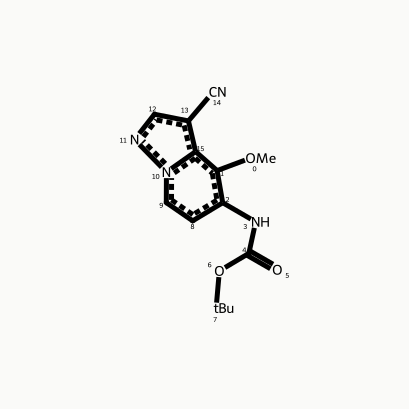 COc1c(NC(=O)OC(C)(C)C)ccn2ncc(C#N)c12